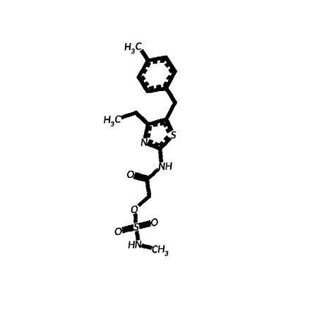 CCc1nc(NC(=O)COS(=O)(=O)NC)sc1Cc1ccc(C)cc1